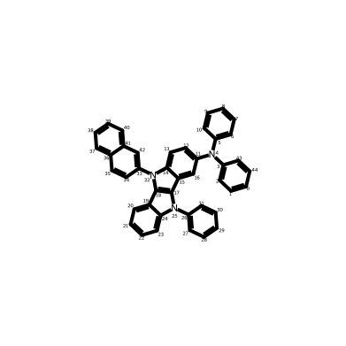 c1ccc(N(c2ccccc2)c2ccc3c(c2)c2c(c4ccccc4n2-c2ccccc2)n3-c2ccc3ccccc3c2)cc1